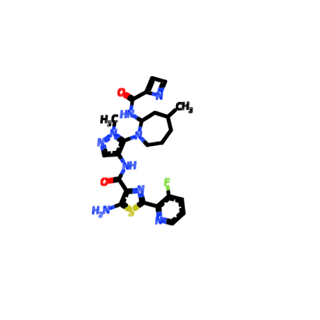 CC1CCCN(c2c(NC(=O)c3nc(-c4ncccc4F)sc3N)cnn2C)C(NC(=O)C2=CC=N2)C1